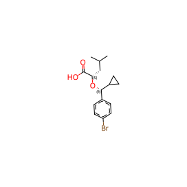 CC(C)C[C@H](O[C@@H](c1ccc(Br)cc1)C1CC1)C(=O)O